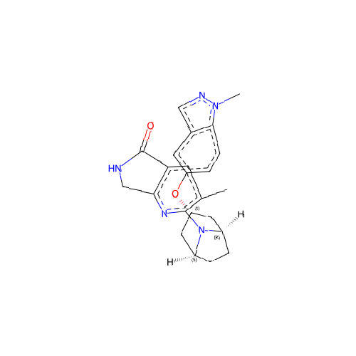 Cc1cc2c(nc1N1[C@@H]3CC[C@H]1C[C@H](Oc1ccc4c(cnn4C)c1)C3)CNC2=O